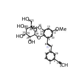 C#Cc1cccc(/C=C/c2cc(OC)cc(OC)c2OC2O[C@H](CO)[C@@H](O)[C@H](O)[C@H]2O)c1